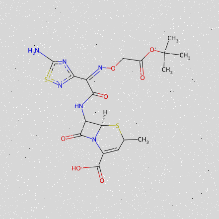 CC1C=C(C(=O)O)N2C(=O)C(NC(=O)/C(=N\OCC(=O)OC(C)(C)C)c3nsc(N)n3)[C@H]2S1